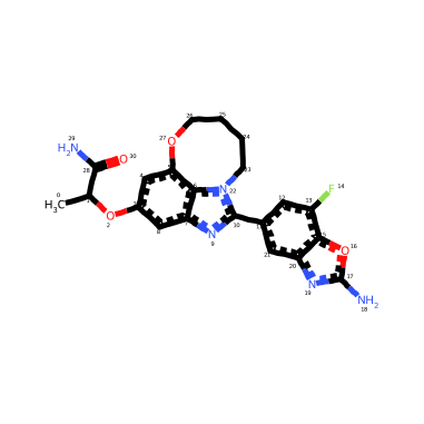 CC(Oc1cc2c3c(c1)nc(-c1cc(F)c4oc(N)nc4c1)n3CCCCO2)C(N)=O